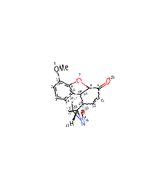 COc1ccc2c3c1OC1C(=O)C=C[C@]45OCN(CC[C@]314)[C@@H]5C2